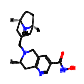 CC[C@@H]1Cc2ncc(C(=O)NO)cc2CN1C[C@H]1C[C@H]2CC[C@@H](C1)N2C